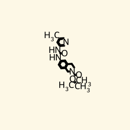 Cc1cncc(NC(=O)Nc2ccc3c(c2)CCN(C(=O)OC(C)(C)C)C3)c1